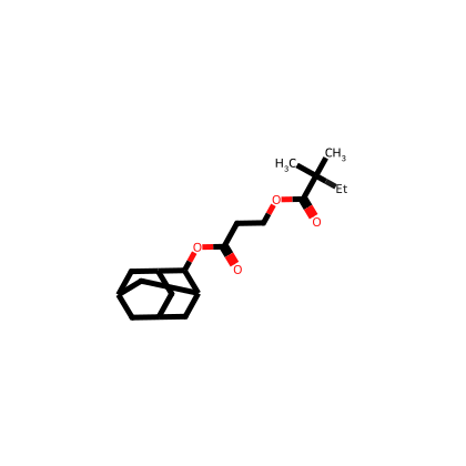 CCC(C)(C)C(=O)OCCC(=O)OC1C2CC3CC(C2)CC1C3